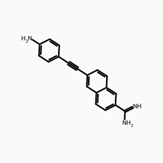 N=C(N)c1ccc2cc(C#Cc3ccc(N)cc3)ccc2c1